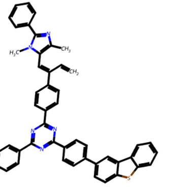 C=C/C(=C\c1c(C)nc(-c2ccccc2)n1C)c1ccc(-c2nc(-c3ccccc3)nc(-c3ccc(-c4ccc5sc6ccccc6c5c4)cc3)n2)cc1